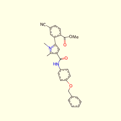 COC(=O)c1ccc(C#N)cc1-c1cc(C(=O)Nc2ccc(OCc3ccccc3)cc2)c(C)n1C